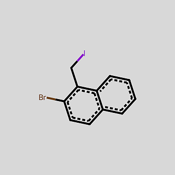 Brc1ccc2ccccc2c1CI